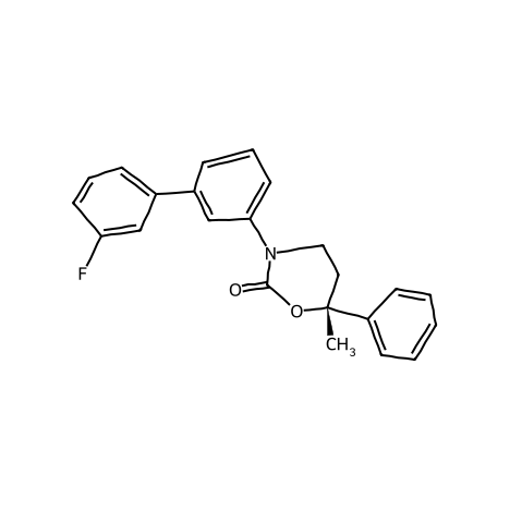 C[C@]1(c2ccccc2)CCN(c2cccc(-c3cccc(F)c3)c2)C(=O)O1